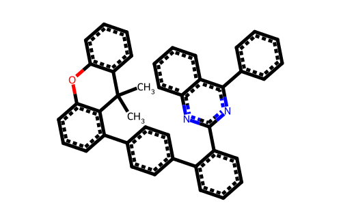 CC1(C)c2ccccc2Oc2cccc(-c3ccc(-c4ccccc4-c4nc(-c5ccccc5)c5ccccc5n4)cc3)c21